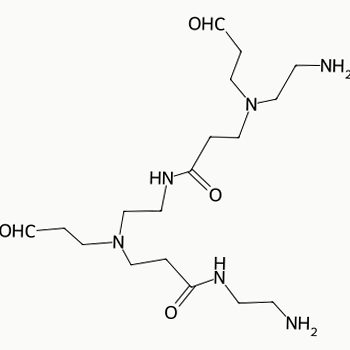 NCCNC(=O)CCN(CCC=O)CCNC(=O)CCN(CCN)CCC=O